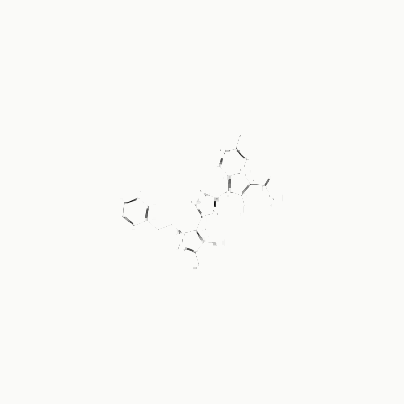 Cc1cn2c(C(N)=O)c(F)c(-c3nc(-c4c(O)c(C)nn4CCc4ccccc4)n[nH]3)c2cn1